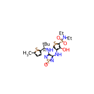 CCN(CC)S(=O)(=O)c1scc(Nc2n[s+]([O-])nc2N[C@@H](c2ccc(C)s2)C(C)(C)C)c1O